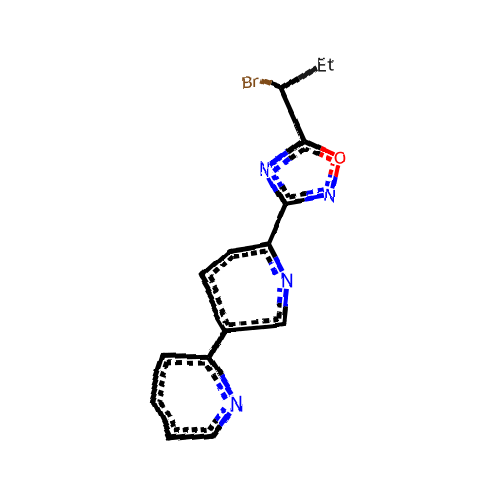 CCC(Br)c1nc(-c2ccc(-c3ccccn3)cn2)no1